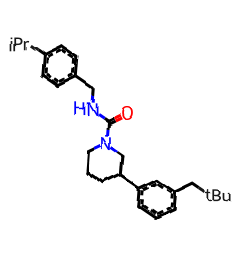 CC(C)c1ccc(CNC(=O)N2CCCC(c3cccc(CC(C)(C)C)c3)C2)cc1